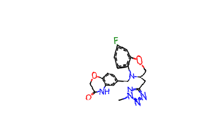 Cn1nnc(C[C@@H]2COc3cc(F)ccc3N2Cc2ccc3c(c2)NC(=O)CO3)n1